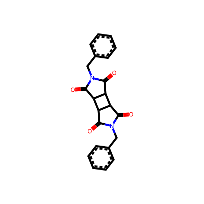 O=C1C2C(C(=O)N1Cc1ccccc1)C1C(=O)N(Cc3ccccc3)C(=O)C21